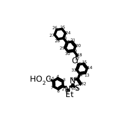 CCN(c1ccc(C(=O)O)cc1)c1nc(-c2cccc(OCc3ccc(C4CCCCC4)cc3)c2)cs1